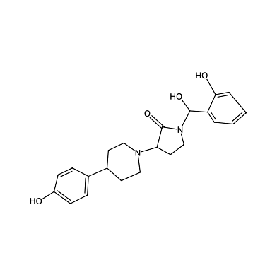 O=C1C(N2CCC(c3ccc(O)cc3)CC2)CCN1C(O)c1ccccc1O